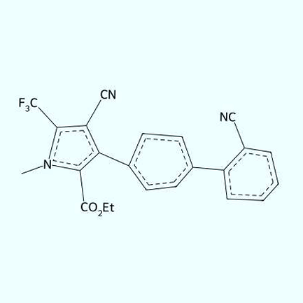 CCOC(=O)c1c(-c2ccc(-c3ccccc3C#N)cc2)c(C#N)c(C(F)(F)F)n1C